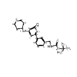 CC(C)(C)OC(=O)NCc1cccc(-c2nc(Cl)cc(NC3CCOCC3)n2)c1